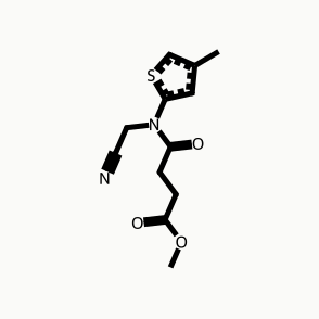 COC(=O)CCC(=O)N(CC#N)c1cc(C)cs1